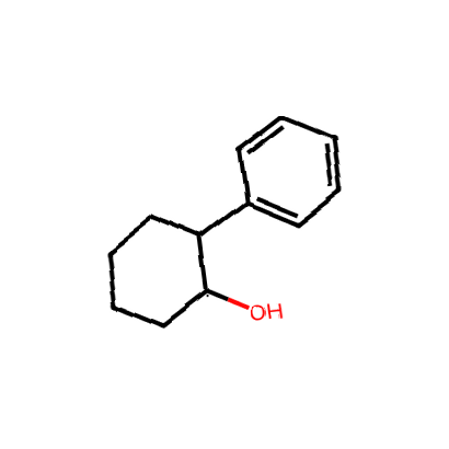 O[C]1CCCCC1c1ccccc1